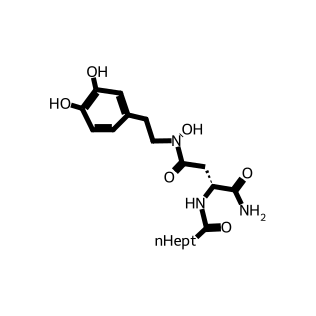 CCCCCCCC(=O)N[C@H](CC(=O)N(O)CCc1ccc(O)c(O)c1)C(N)=O